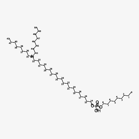 CCCCCCCCCOP(=O)(O)OCCCCCCCCCCCCCCCCCCCCN(CCCCCCCC)CCCCCCCC